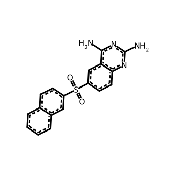 Nc1nc(N)c2cc(S(=O)(=O)c3ccc4ccccc4c3)ccc2n1